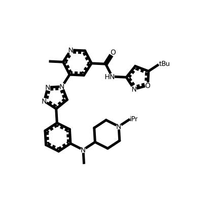 Cc1ncc(C(=O)Nc2cc(C(C)(C)C)on2)cc1-n1cc(-c2cccc(N(C)C3CCN(C(C)C)CC3)c2)nn1